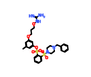 Cc1cc(OCCCONC(=N)N)cc(OS(=O)(=O)c2ccccc2S(=O)(=O)N2CCN(Cc3ccccc3)CC2)c1